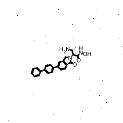 C[C@@H](N)[C@@H](C(=O)NO)N1Cc2cc(-c3ccc(-c4ccccc4)cc3)ccc2C1=O